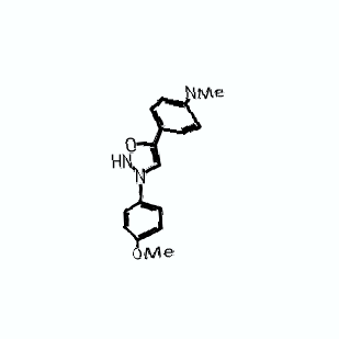 CNc1ccc(C2=CN(c3ccc(OC)cc3)NO2)cc1